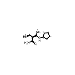 N=C/C(C(N)=O)=C(\N)NC1CCCC1